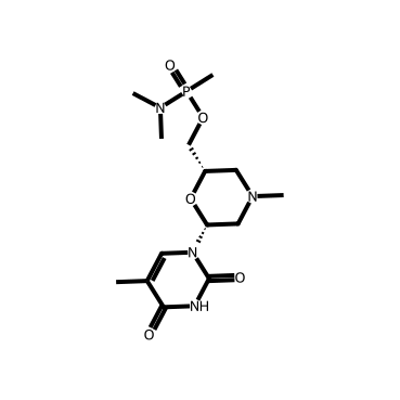 Cc1cn([C@H]2CN(C)C[C@@H](COP(C)(=O)N(C)C)O2)c(=O)[nH]c1=O